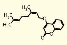 CC(C)=CCCC(C)=CCOc1cc(=O)oc2ccccc12